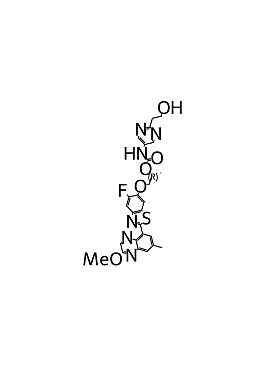 COc1cnc2c(-c3nc4cc(F)c(OC[C@@H](C)OC(=O)Nc5cnc(CCO)nc5)cc4s3)cc(C)cc2n1